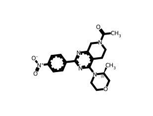 CC(=O)N1CCc2c(nc(-c3ccc([N+](=O)[O-])cc3)nc2N2CCOC[C@@H]2C)C1